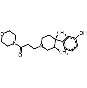 C[C@H]1CN(CCC(=O)N2CCOCC2)CC[C@]1(C)c1cccc(O)c1